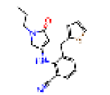 CCCN1CC(Nc2c(C#N)cccc2Cc2cccs2)=CC1=O